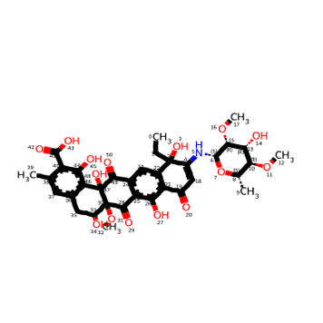 CCC1(O)C(N[C@H]2O[C@@H](C)[C@H](OC)[C@@H](O)[C@H]2OC)=CC(=O)c2c1cc1c(c2O)C(=O)C2(OC)C(O)Cc3cc(C)c(C(=O)O)c(O)c3C2(O)C1=O